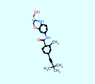 Cc1cc(C#CC(C)(C)C)ccc1C(=O)Nc1ccc2c(c1)OC[C@H](CO)N2